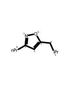 CCCc1cc(CC(C)C)on1